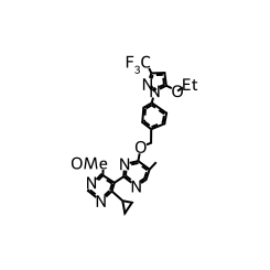 CCOc1cc(C(F)(F)F)nn1-c1ccc(COc2nc(-c3c(OC)ncnc3C3CC3)ncc2C)cc1